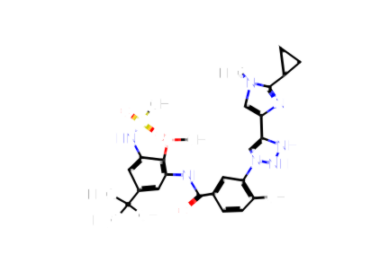 COc1c(NC(=O)c2ccc(C)c(N3C=C(c4cn(C)c(C5CC5)n4)NN3)c2)cc(C(C)(C)C)cc1NS(C)(=O)=O